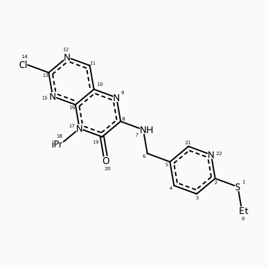 CCSc1ccc(CNc2nc3cnc(Cl)nc3n(C(C)C)c2=O)cn1